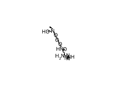 C#CCN(CCO)CCOCCOCCOCCNC(=O)CC[C@H](N)c1nn[nH]n1